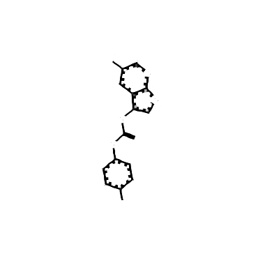 O=C(Nc1ccc(C(F)(F)F)cc1)Nc1c[nH]c2ncc(Br)cc12